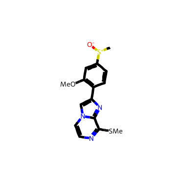 COc1cc([S+](C)[O-])ccc1-c1cn2ccnc(SC)c2n1